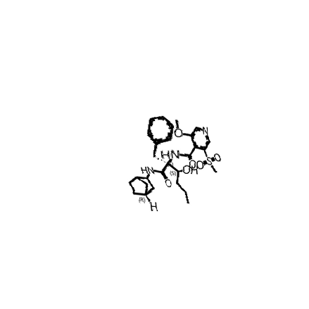 CCC[C@H](O)[C@](Cc1ccccc1)(NC(=O)c1c(OC)cncc1S(C)(=O)=O)C(=O)NC1C[C@@H]2CCC1C2